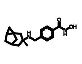 C[C@@]1(NCc2ccc(C(=O)NO)cc2)CC2CC3CC3(C2)C1